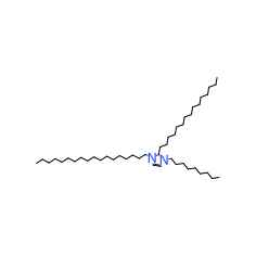 CCCCCCCCCCCCCCCCCCN1C=CN(CCCCCCCCC)C1CCCCCCCCCCCCCCC